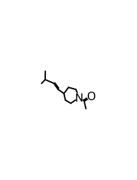 CC(=O)N1CCC(/C=C/C(C)C)CC1